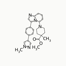 COC(=O)C1(C)CCN(c2cccc3ncc(-c4ccc(-c5cnn(C)c5)cc4)n23)CC1